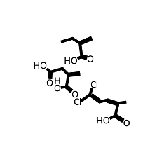 C=C(CC(=O)O)C(=O)O.C=C(CC)C(=O)O.CC(=CC=C(Cl)Cl)C(=O)O